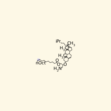 CCCCCCCC/C=C\CCCCCCCC(=O)OCC(CN)OC1CC[C@@]2(C)C(=CCC3C2CC[C@@]2(C)C3CC[C@@H]2[C@H](C)CCCC(C)C)C1